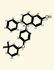 CC1(C)C=C(Oc2ccc([C@@H]3c4ccc(O)cc4CC[C@@H]3c3ccccc3)cc2)C=CC1